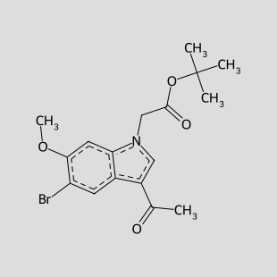 COc1cc2c(cc1Br)c(C(C)=O)cn2CC(=O)OC(C)(C)C